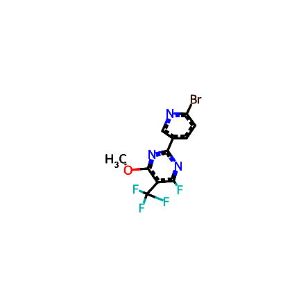 COc1nc(-c2ccc(Br)nc2)nc(F)c1C(F)(F)F